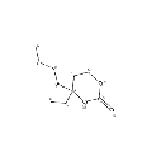 CCCCC1(CC)CCOC(=O)O1